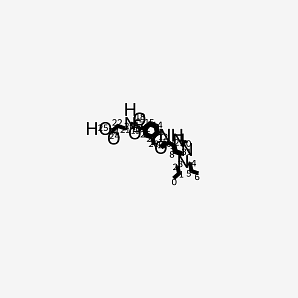 CCCN(CCC)c1cc(C(=O)Nc2ccc(S(=O)(=O)NCCC(=O)O)cc2C)ncn1